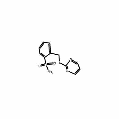 NS(=O)(=O)c1ccccc1CSc1ncccn1